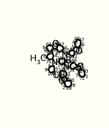 Cc1cccc(N(c2cccc(C)c2)c2cc3c4c(c2)N(c2ccc5oc6ccccc6c5c2)c2cc5c(cc2B4c2cc4oc6ccccc6c4cc2N3c2ccc3oc4ccccc4c3c2)oc2ccccc25)c1